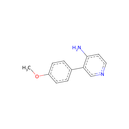 COc1ccc(-c2cnccc2N)cc1